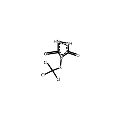 O=c1[nH][nH]c(=O)n1SC(Cl)(Cl)Cl